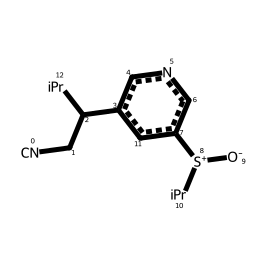 [C-]#[N+]CC(c1cncc([S+]([O-])C(C)C)c1)C(C)C